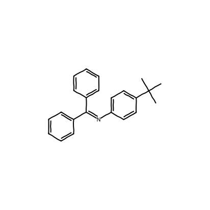 CC(C)(C)c1ccc(N=C(c2ccccc2)c2ccccc2)cc1